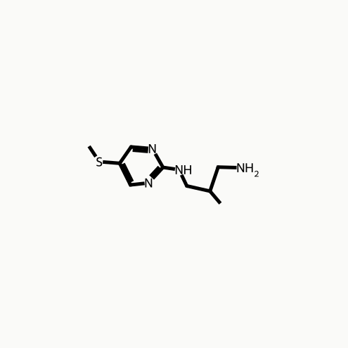 CSc1cnc(NCC(C)CN)nc1